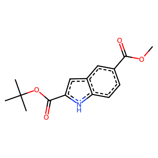 COC(=O)c1ccc2[nH]c(C(=O)OC(C)(C)C)cc2c1